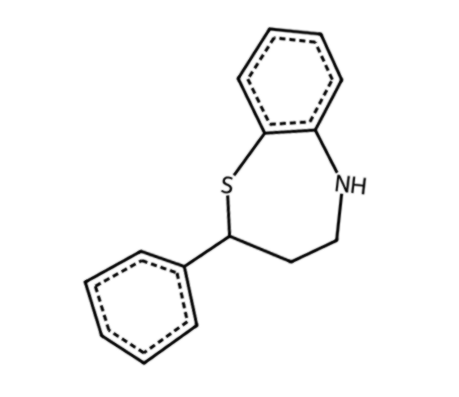 c1ccc(C2CCNc3ccccc3S2)cc1